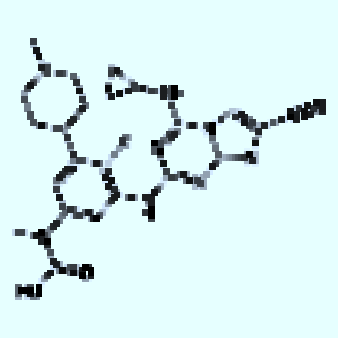 CN1CCC(c2cc(N(C)C(=O)O)cc(Nc3nc(NC4CC4)n4cc(C#N)nc4n3)c2Cl)CC1